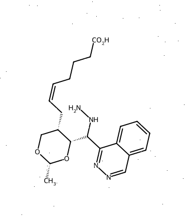 C[C@@H]1OC[C@H](C/C=C\CCCC(=O)O)[C@H](C(NN)c2nncc3ccccc23)O1